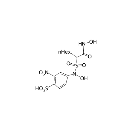 CCCCCCC(C(=O)NO)S(=O)(=O)N(O)c1ccc(S(=O)(=O)O)c([N+](=O)[O-])c1